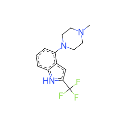 CN1CCN(c2cccc3[nH]c(C(F)(F)F)cc23)CC1